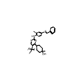 Cc1cc(SCc2ccccc2)ccc1Nc1ncc(C(F)(F)F)c(C2CCC(C)(O)CC2)n1